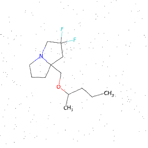 CCCC(C)OCC12CCCN1CC(F)(F)C2